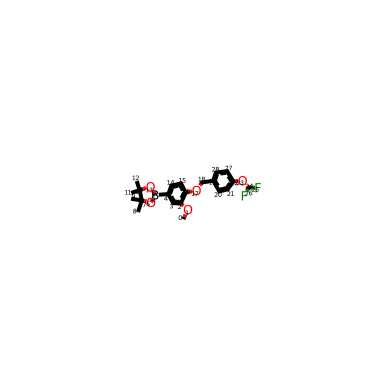 COc1cc(B2OC(C)(C)C(C)(C)O2)ccc1OCc1ccc(OC(F)F)cc1